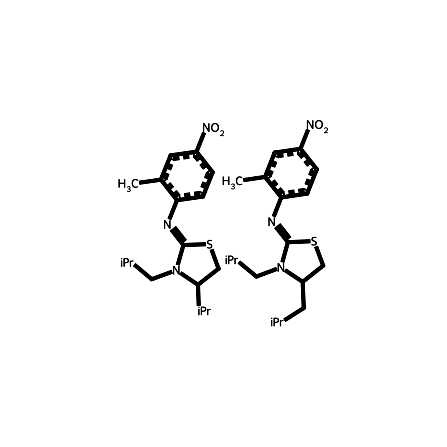 Cc1cc([N+](=O)[O-])ccc1N=C1SCC(C(C)C)N1CC(C)C.Cc1cc([N+](=O)[O-])ccc1N=C1SCC(CC(C)C)N1CC(C)C